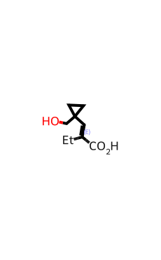 CC/C(=C\C1(CO)CC1)C(=O)O